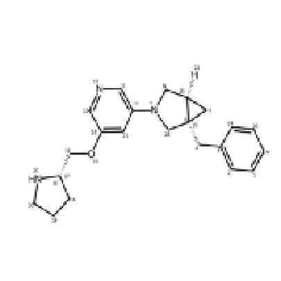 c1ccc(C[C@@]23C[C@@H]2CN(c2cncc(OC[C@@H]4CCCN4)c2)C3)cc1